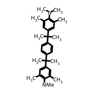 CNc1c(C)cc(C(C)(C)c2ccc(C(C)(C)c3cc(C)c(N(C)C)c(C)c3)cc2)cc1C